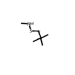 CNS[C]C(C)(C)C